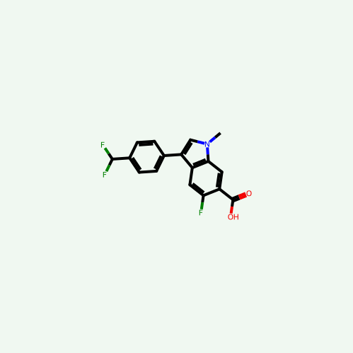 Cn1cc(-c2ccc(C(F)F)cc2)c2cc(F)c(C(=O)O)cc21